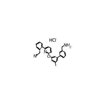 Cc1cc(Oc2cccc(-c3ccccc3CC#N)n2)cc(-c2cccc(CN)c2)c1.Cl